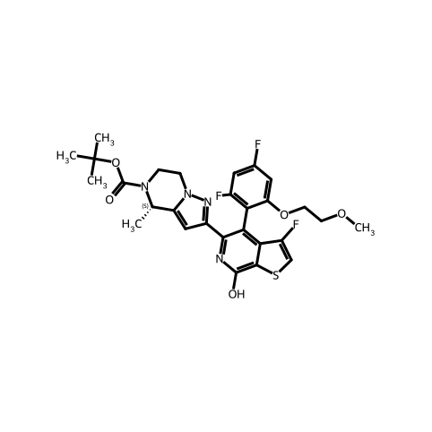 COCCOc1cc(F)cc(F)c1-c1c(-c2cc3n(n2)CCN(C(=O)OC(C)(C)C)[C@H]3C)nc(O)c2scc(F)c12